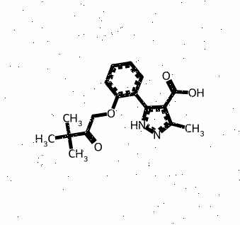 Cc1n[nH]c(-c2ccccc2OCC(=O)C(C)(C)C)c1C(=O)O